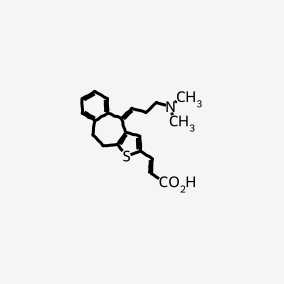 CN(C)CCC=C1c2ccccc2CCc2sc(C=CC(=O)O)cc21